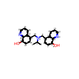 CC(C)N(Cc1ccc(O)c2ncccc12)Cc1ccc(O)c2ncccc12